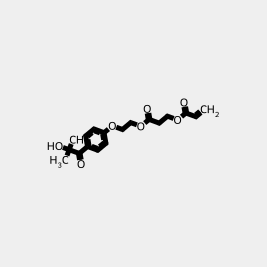 C=CC(=O)OCCC(=O)OCCOc1ccc(C(=O)C(C)(C)O)cc1